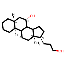 C[C@]12CCC3C(C1CC[C@@H]2CCCO)[C@@H](O)C[C@@H]1CCCC[C@]31C